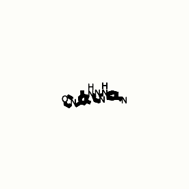 Cc1cc(CN2CCOCC2)cc(C)c1Nc1ccnc(Nc2ccc(C#N)cc2)n1